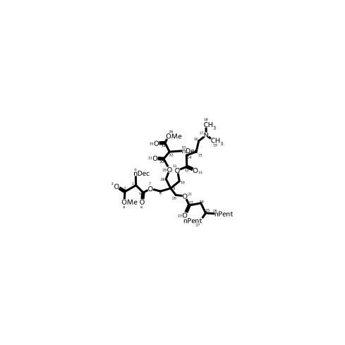 CCCCCCCCCCC(C(=O)OC)C(=O)OCC(COC(=O)CCCN(C)C)(COC(=O)CC(CCCCC)CCCCC)COC(=O)C(CCCCCCCCCC)C(=O)OC